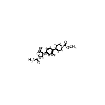 COC(=O)N1CC=C(c2ccc(N3C[C@H](C(N)=O)OC3=O)cc2F)CC1